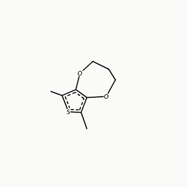 Cc1sc(C)c2c1OCCCO2